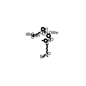 COc1cc(C(=O)N(C)c2ccc(C)cc2OCCCCCC(=O)N(C)CCN(C)C)ccc1NC(=O)c1ccccc1OCCCNC(=O)OC(C)(C)C